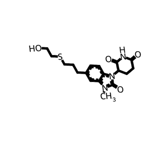 Cn1c(=O)n(C2CCC(=O)NC2=O)c2ccc(CCCSCCO)cc21